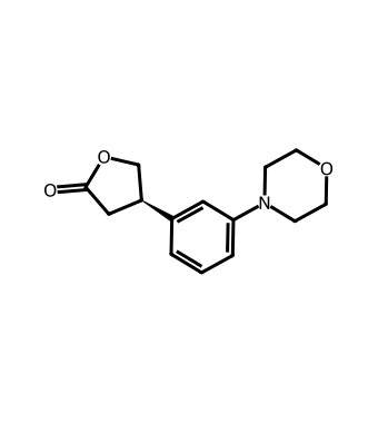 O=C1C[C@H](c2cccc(N3CCOCC3)c2)CO1